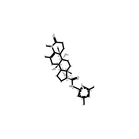 CC1=C2N(C)C(=O)CC[C@]2(C)[C@H]2CC[C@]3(C)[C@@H](C(=O)Nc4cc(C)cc(C)n4)CC[C@H]3[C@@H]2C1